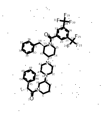 C[C@@H](C(=O)N1CCCC(N2CCN([C@H]3CCN(C(=O)c4cc(C(F)(F)F)cc(C(F)(F)F)c4)[C@H](Cc4ccccc4)C3)CC2)C1)c1ccccc1